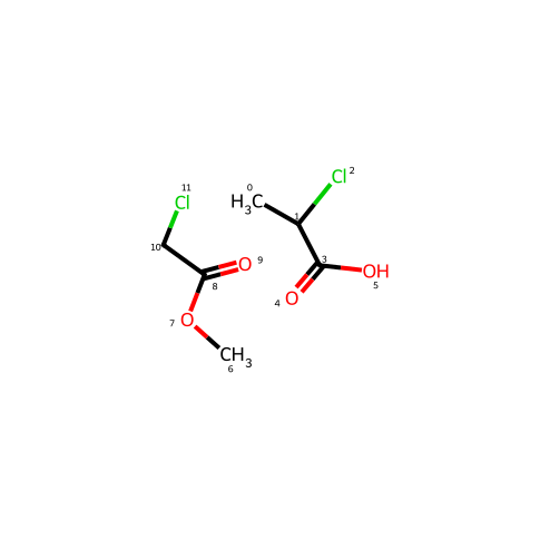 CC(Cl)C(=O)O.COC(=O)CCl